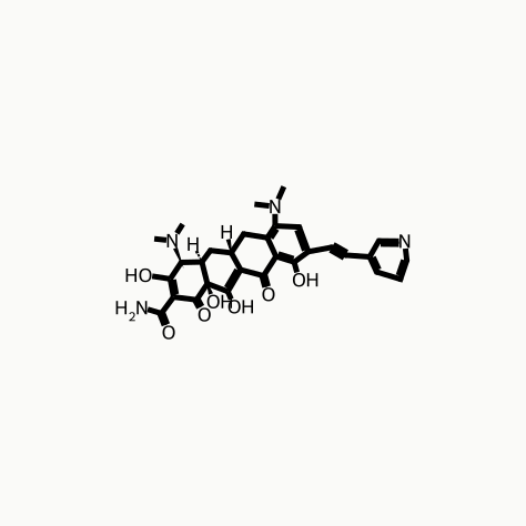 CN(C)c1cc(C#Cc2cccnc2)c(O)c2c1C[C@H]1C[C@@H]3[C@H](N(C)C)C(O)=C(C(N)=O)C(=O)[C@@]3(O)C(O)=C1C2=O